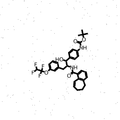 CC(C)(C)OC(=O)Nc1ccc(C(O)C(Cc2cccc(OC(F)(F)C(F)F)c2)NC(=O)c2cccc3c2C=CCCC3)cc1